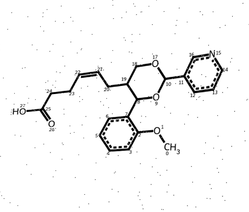 COc1ccccc1C1OC(c2cccnc2)OCC1C/C=C\CCC(=O)O